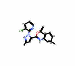 C=C1OC(c2cc(C)nn2-c2ncccc2Cl)=Nc2cc(C)ccc21